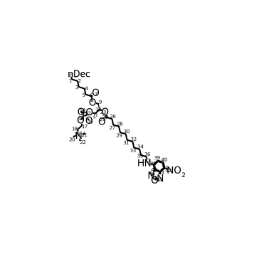 CCCCCCCCCCCCCCCC(=O)OC[C@H](COP(=O)([O-])OCC[N+](C)(C)C)OC(=O)CCCCCCCCCCCNc1ccc([N+](=O)[O-])c2nonc12